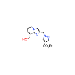 CCOC(=O)c1cnn(Cc2cn3cccc(CO)c3n2)c1